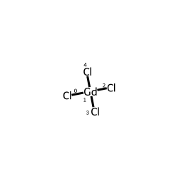 [Cl][Gd]([Cl])([Cl])[Cl]